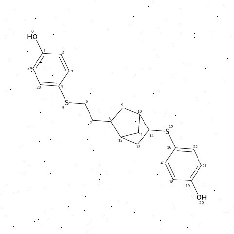 Oc1ccc(SCCC2CC3CC2CC3Sc2ccc(O)cc2)cc1